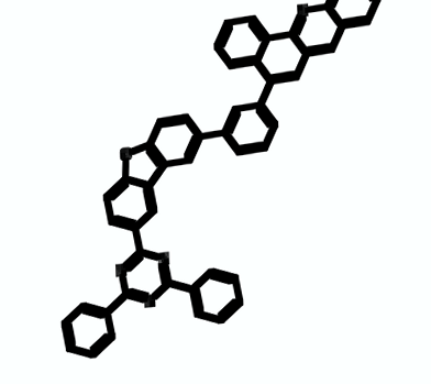 c1ccc(-c2nc(-c3ccccc3)nc(-c3ccc4oc5ccc(-c6cccc(-c7cc8cc9ccccc9nc8c8ccccc78)c6)cc5c4c3)n2)cc1